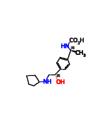 C[C@H](NC(=O)O)c1ccc([C@H](O)CNC2CCCC2)cc1